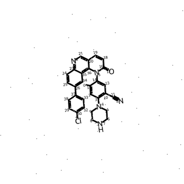 Cc1cc(N2CCNCC2)c(C#N)cc1-n1c(=O)ccc2cnc3ccc(-c4ccc(Cl)cc4)cc3c21